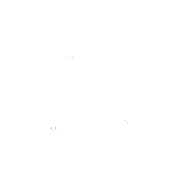 COc1ccc(CC2(Cc3ccc(OC)cc3Cl)CCN(C)CC2)c(Cl)c1